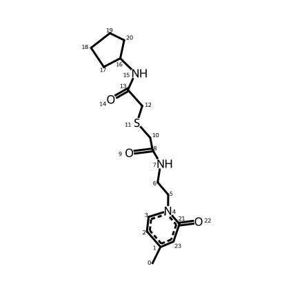 Cc1ccn(CCNC(=O)CSCC(=O)NC2CCCC2)c(=O)c1